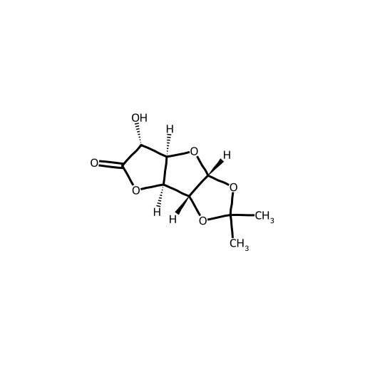 CC1(C)O[C@H]2O[C@H]3[C@H](OC(=O)[C@@H]3O)[C@H]2O1